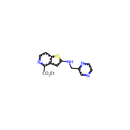 CCOC(=O)c1nccc2sc(NCc3cnccn3)cc12